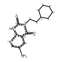 Nc1cnc2[nH]c(=O)n(CCC3CCCCC3)c(=O)c2c1